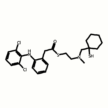 CN(CCSC(=O)Cc1ccccc1Nc1c(Cl)cccc1Cl)CC1(S)CCCCC1